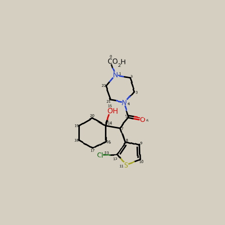 O=C(O)N1CCN(C(=O)C(c2ccsc2Cl)C2(O)CCCCC2)CC1